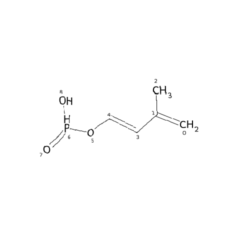 C=C(C)C=CO[PH](=O)O